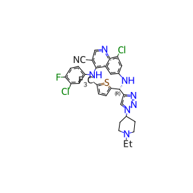 CCN1CCC(n2cc([C@@H](Nc3cc(Cl)c4ncc(C#N)c(Nc5ccc(F)c(Cl)c5)c4c3)c3ccc(C(F)(F)F)s3)nn2)CC1